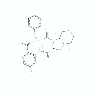 CC(=O)c1ccc(Br)cc1NC(=O)[C@@H]1C[C@@H]2CCCC[C@@H]2N1C(=O)OCc1ccccc1